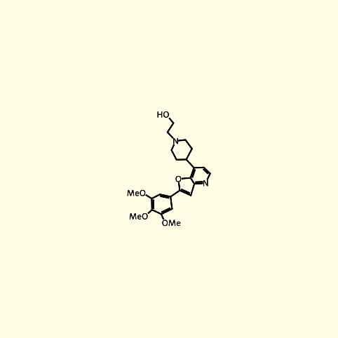 COc1cc(-c2cc3nccc(C4CCN(CCO)CC4)c3o2)cc(OC)c1OC